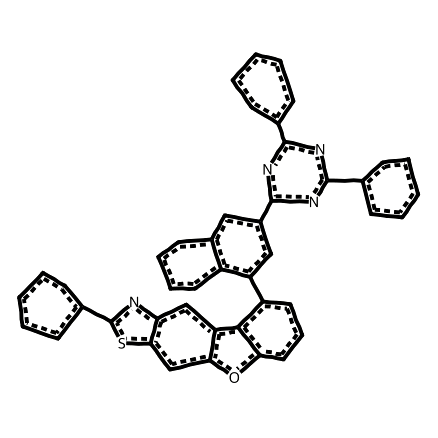 c1ccc(-c2nc(-c3ccccc3)nc(-c3cc(-c4cccc5oc6cc7sc(-c8ccccc8)nc7cc6c45)c4ccccc4c3)n2)cc1